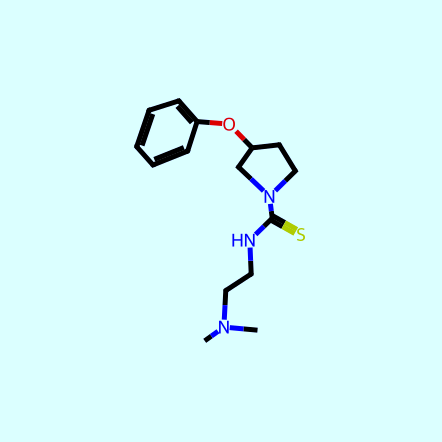 CN(C)CCNC(=S)N1CCC(Oc2ccccc2)C1